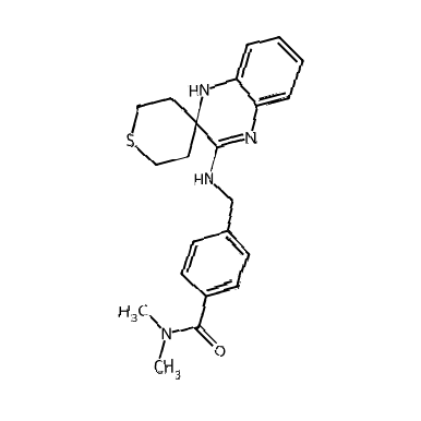 CN(C)C(=O)c1ccc(CNC2=Nc3ccccc3NC23CCSCC3)cc1